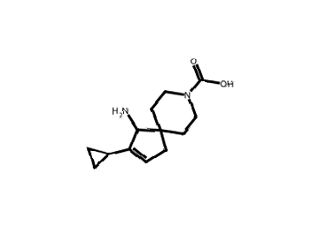 NC1C(C2CC2)=CCC12CCN(C(=O)O)CC2